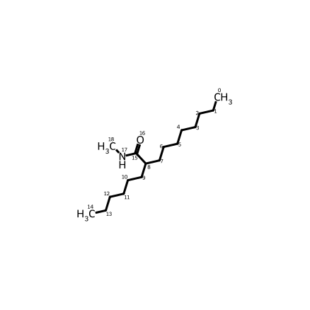 CCCCCCCCC(CCCCCC)C(=O)NC